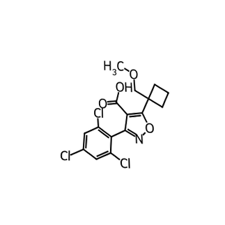 COCC1(c2onc(-c3c(Cl)cc(Cl)cc3Cl)c2C(=O)O)CCC1